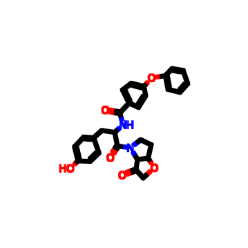 O=C(NC(Cc1ccc(O)cc1)C(=O)N1CCC2OCC(=O)C21)c1ccc(Oc2ccccc2)cc1